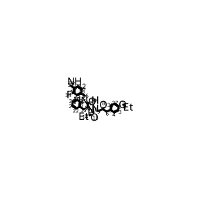 CCOc1ccc(CC(=O)CNN(C(=O)CC)[C@@H](Cc2ccccc2)C(=O)NCc2ccc(CN)c(F)c2)cc1